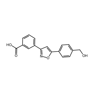 O=C(O)c1cccc(-c2cc(-c3ccc(CO)cc3)on2)c1